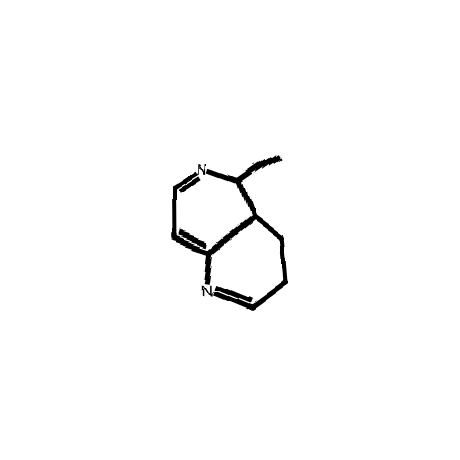 CC1N=CC=C2N=CCCC21